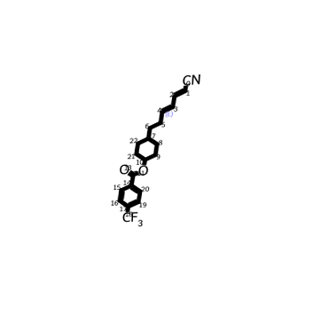 N#CC=C/C=C/CCC1CCC(OC(=O)c2ccc(C(F)(F)F)cc2)CC1